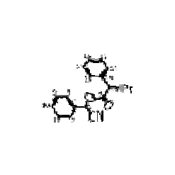 CC(C)C(C(=O)OC(C#N)c1ccccc1)c1ccccc1